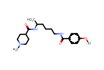 CCOc1ccc(C(=O)NCCCCC(NC(=O)C2CCN(C)CC2)C(=O)O)cc1